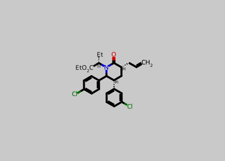 C=CC[C@@H]1C[C@H](c2cccc(Cl)c2)C(c2ccc(Cl)cc2)N([C@@H](CC)C(=O)OCC)C1=O